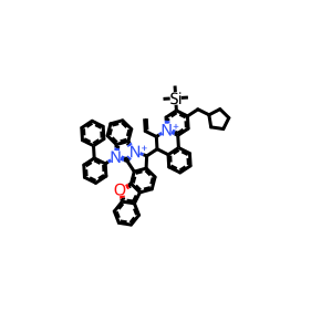 C=CC1C(C2c3ccc4c(oc5ccccc54)c3-c3n(-c4ccccc4-c4ccccc4)c4ccccc4[n+]32)c2ccccc2-c2cc(CC3CCCC3)c([Si](C)(C)C)c[n+]21